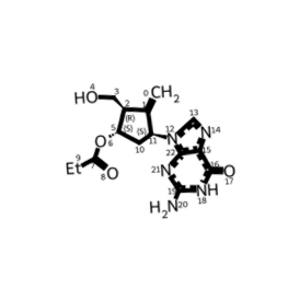 C=C1[C@H](CO)[C@@H](OC(=O)CC)C[C@@H]1n1cnc2c(=O)[nH]c(N)nc21